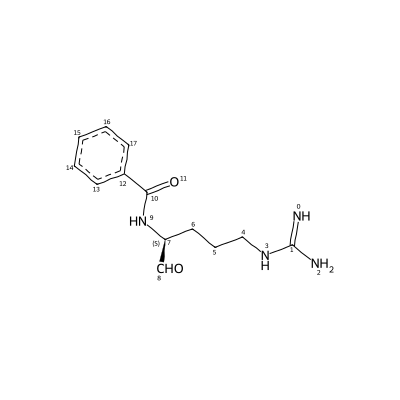 N=C(N)NCCC[C@@H](C=O)NC(=O)c1ccccc1